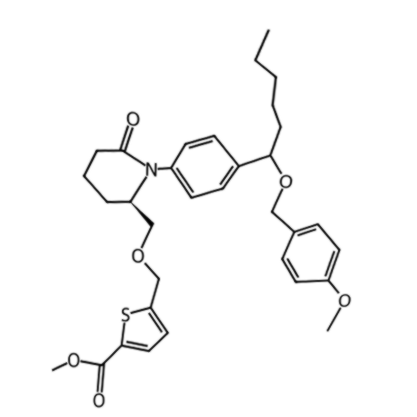 CCCCCC(OCc1ccc(OC)cc1)c1ccc(N2C(=O)CCC[C@@H]2COCc2ccc(C(=O)OC)s2)cc1